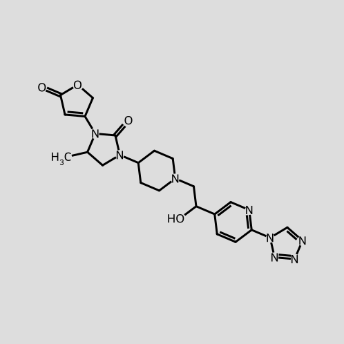 CC1CN(C2CCN(CC(O)c3ccc(-n4cnnn4)nc3)CC2)C(=O)N1C1=CC(=O)OC1